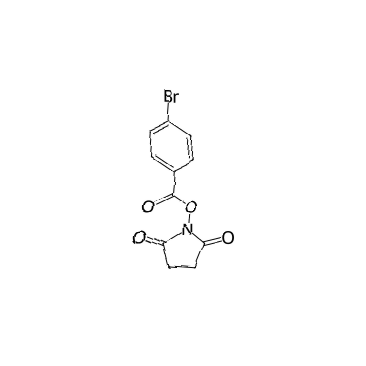 O=C(ON1C(=O)CCC1=O)c1ccc(Br)cc1